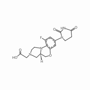 O=C(O)CN1CCN2c3c(F)cc(N4CCC(=O)NC4=O)cc3OC[C@@H]2C1